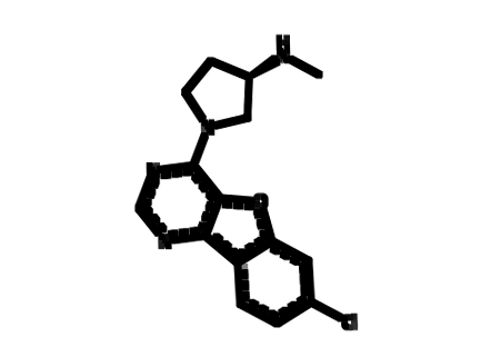 CN[C@@H]1CCN(c2ncnc3c2oc2cc(Cl)ccc23)C1